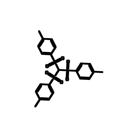 Cc1ccc(S(=O)(=O)C(S(=O)(=O)c2ccc(C)cc2)S(=O)(=O)c2ccc(C)cc2)cc1